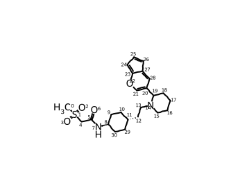 CS(=O)(=O)CC(=O)N[C@H]1CC[C@H](CCN2CCCCC2c2coc3cccc-3c2)CC1